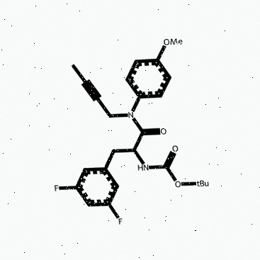 CC#CCN(C(=O)C(Cc1cc(F)cc(F)c1)NC(=O)OC(C)(C)C)c1ccc(OC)cc1